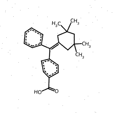 CC1(C)CC(=C(c2ccccc2)c2ccc(C(=O)O)cc2)CC(C)(C)C1